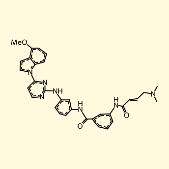 COc1cccc2c1ccn2-c1ccnc(Nc2cccc(NC(=O)c3cccc(NC(=O)C=CCN(C)C)c3)c2)n1